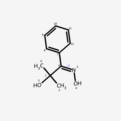 CC(C)(O)/C(=N\O)c1ccccc1